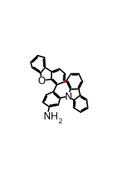 Nc1ccc(-c2cccc3c2oc2ccccc23)c(-n2c3ccccc3c3ccccc32)c1